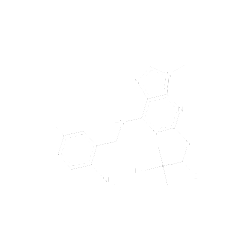 CCC(Nc1nc(NCc2cc(F)ccc2N)c2ncn(C)c2n1)C(C)(C)O